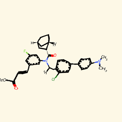 [2H]C(c1ccc(-c2ccc(N(C)C)cc2)cc1Cl)N(C(=O)[C@@H]1C[C@@H]2CC[C@H]1C2)c1cc(F)cc(/C=C/C(=O)OC)c1